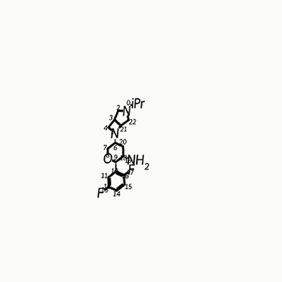 CC(C)N1CC2CN([C@H]3CO[C@H](c4cc(F)ccc4F)[C@@H](N)C3)C2C1